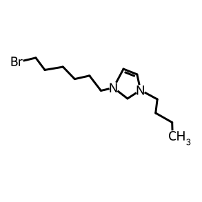 CCCCN1C=CN(CCCCCCBr)C1